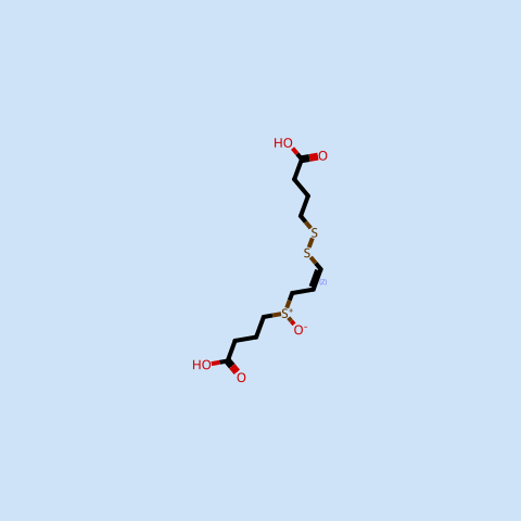 O=C(O)CCCSS/C=C\C[S+]([O-])CCCC(=O)O